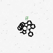 CC1=CC[C]([Zr+2](=[C](c2ccccc2)c2ccccc2)[CH]2c3ccccc3-c3ccccc32)=C1C12CC3CC(CC(C3)C1)C2.[Cl-].[Cl-]